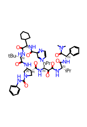 CCC[C@H](NC(=O)[C@@H]1CN(C(=O)Nc2ccccc2)C[C@@H]1NC(=O)[C@@H](NC(=O)[C@@H](NC(=O)c1cnccn1)C1CCCCC1)C(C)(C)C)C(=O)C(=O)N[C@H](C(=O)N[C@H](C(=O)N(C)C)c1ccccc1)C(C)C